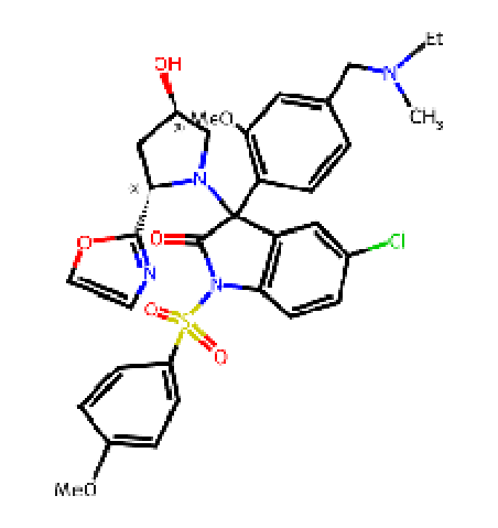 CCN(C)Cc1ccc(C2(N3C[C@H](O)C[C@H]3c3ncco3)C(=O)N(S(=O)(=O)c3ccc(OC)cc3)c3ccc(Cl)cc32)c(OC)c1